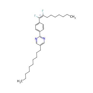 CCCCCCCCCCc1cnc(-c2ccc(/C(F)=C(/F)CCCCCCC)cc2)nc1